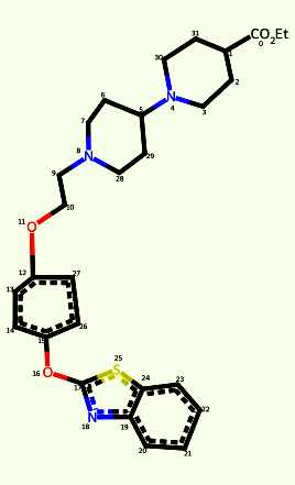 CCOC(=O)C1CCN(C2CCN(CCOc3ccc(Oc4nc5ccccc5s4)cc3)CC2)CC1